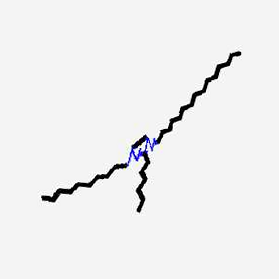 CCCCCCCCCCCCCCCN1C=CN(CCCCCCCCCC)C1CCCCCC